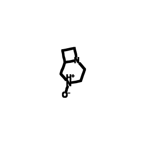 [O-][NH+]1CCN2CCC2C1